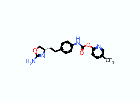 NC1=N[C@@H](CCc2ccc(NC(=O)Oc3ccc(C(F)(F)F)cn3)cc2)CO1